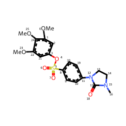 COc1cc(OS(=O)(=O)c2ccc(N3CCN(C)C3=O)cc2)cc(OC)c1OC